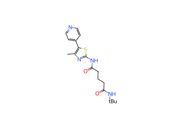 Cc1nc(NC(=O)CCCC(=O)NC(C)(C)C)sc1-c1ccncc1